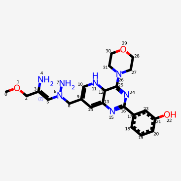 COC/C(N)=C/N(N)CC1=CNC2C(=C1)N=C(c1cccc(O)c1)N=C2N1CCOCC1